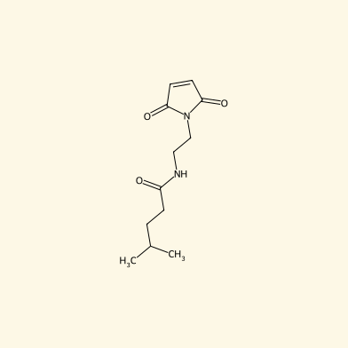 CC(C)CCC(=O)NCCN1C(=O)C=CC1=O